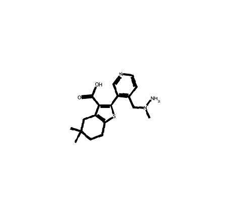 CN(N)Cc1ccncc1-c1sc2c(c1C(=O)O)CC(C)(C)CC2